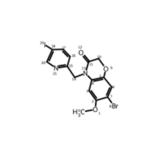 COc1cc2c(cc1Br)OCC(=O)N2Cc1ccc(I)cn1